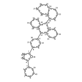 c1ccc(-c2nnc(-c3ccc(-c4c5ccccc5c(-c5cccc6ccncc56)c5ccccc45)cc3)o2)cc1